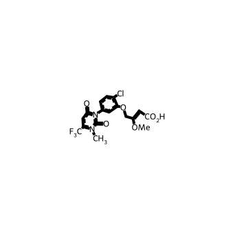 COC(=CC(=O)O)COc1cc(-n2c(=O)cc(C(F)(F)F)n(C)c2=O)ccc1Cl